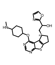 CNC1CCC(Oc2ncnc3sc4c(c23)[C@@H](CC(O)c2ncco2)CC4)CC1